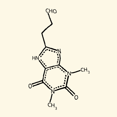 Cn1c(=O)c2[nH]c(CCC=O)nc2n(C)c1=O